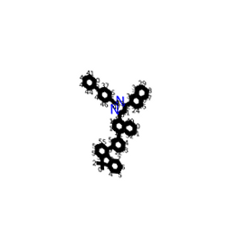 CC1(C)c2ccccc2-c2c(-c3cccc(-c4ccc(-c5cc(-c6ccc7ccccc7c6)nc(-c6ccc(-c7ccccc7)cc6)n5)c5ccccc45)c3)cccc21